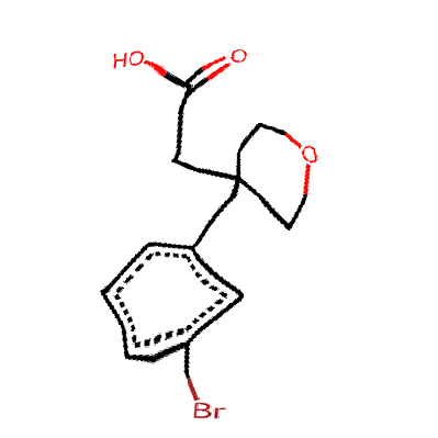 O=C(O)CC1(c2cccc(Br)c2)COC1